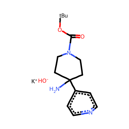 CC(C)(C)OC(=O)N1CCC(N)(c2ccncc2)CC1.[K+].[OH-]